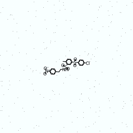 Cc1ccc(S(=O)(=O)c2ccc(Cl)cc2)cc1S(=O)(=O)NCCc1ccc([N+](=O)[O-])cc1